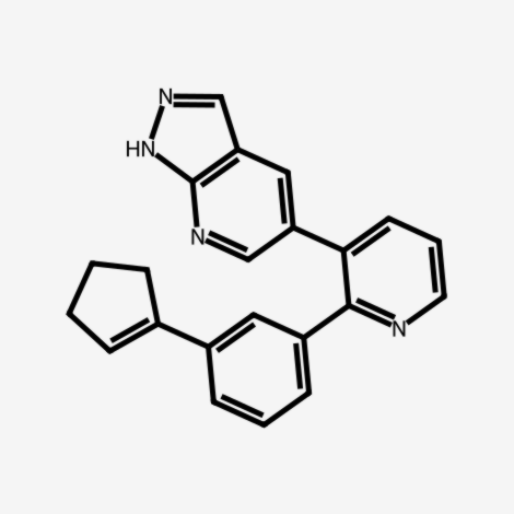 C1=C(c2cccc(-c3ncccc3-c3cnc4[nH]ncc4c3)c2)CCC1